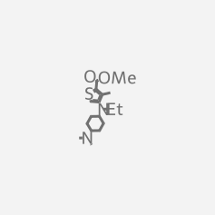 CCN(c1csc(C(=O)OC)c1C)[C@H]1CC[C@@H](N(C)C)CC1